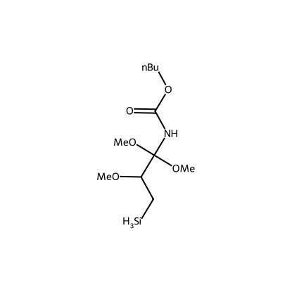 CCCCOC(=O)NC(OC)(OC)C(C[SiH3])OC